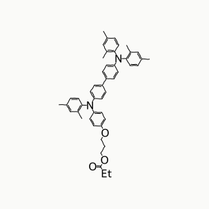 CCC(=O)OCCCOc1ccc(N(c2ccc(-c3ccc(N(c4ccc(C)cc4C)c4ccc(C)cc4C)cc3)cc2)c2ccc(C)cc2C)cc1